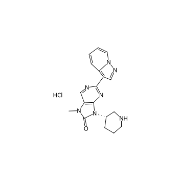 Cl.Cn1c(=O)n([C@H]2CCCNC2)c2nc(-c3cnn4ccccc34)ncc21